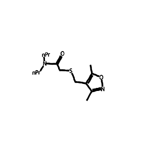 CCCN(CCC)C(=O)CSCc1c(C)noc1C